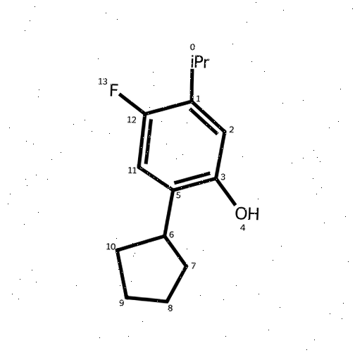 CC(C)c1cc(O)c(C2CCCC2)cc1F